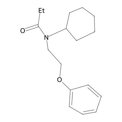 CCC(=O)N(CCOc1ccccc1)C1CCCCC1